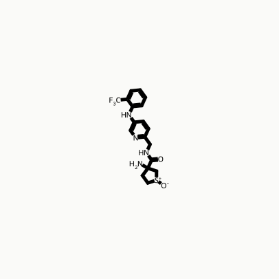 NC1(C(=O)NCc2ccc(Nc3ccccc3C(F)(F)F)cn2)CC[S+]([O-])C1